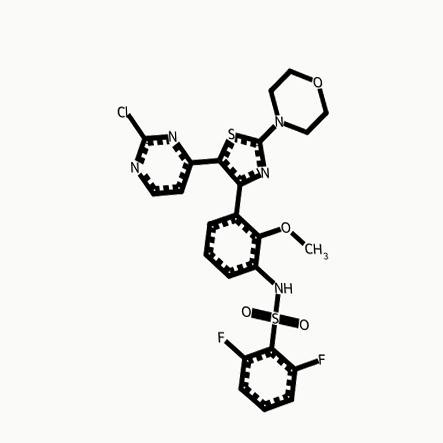 COc1c(NS(=O)(=O)c2c(F)cccc2F)cccc1-c1nc(N2CCOCC2)sc1-c1ccnc(Cl)n1